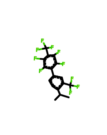 CC(C)c1ccc(-c2c(F)c(F)c(C(F)(F)F)c(F)c2F)cc1C(F)(F)F